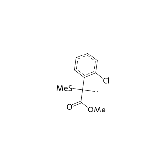 [CH2]C(SC)(C(=O)OC)c1ccccc1Cl